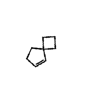 [CH]1CCC12C=CCC2